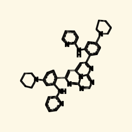 C1=NC2=NC(c3ccc(N4CCCCC4)cc3Nc3ccccn3)=CC3=CC(c4ccc(N5CCCCC5)cc4Nc4ccccn4)=NC(=N1)N32